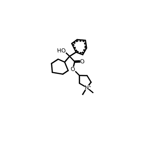 C[N+]1(C)CCC(OC(=O)C(O)(c2ccccc2)C2CCCCC2)C1